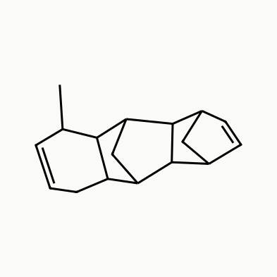 CC1C=CCC2C3CC(C12)C1C2C=CC(C2)C31